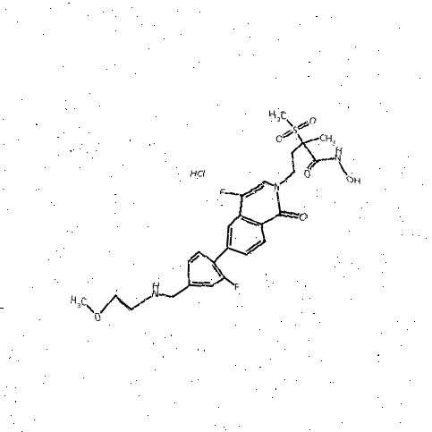 COCCNCc1ccc(-c2ccc3c(=O)n(CCC(C)(C(=O)NO)S(C)(=O)=O)cc(F)c3c2)c(F)c1.Cl